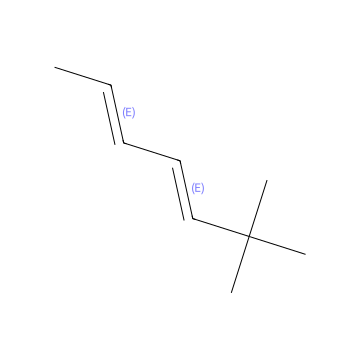 C/C=C/C=C/C(C)(C)C